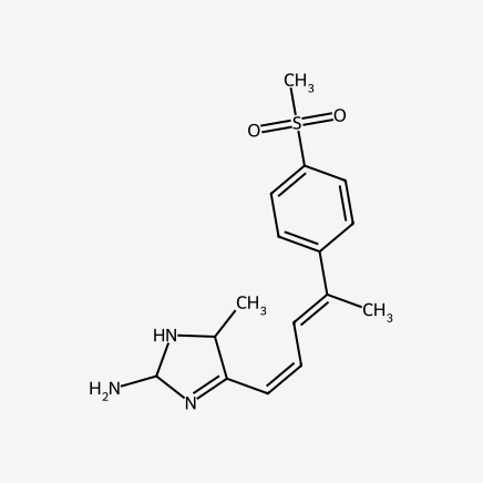 C/C(=C\C=C/C1=NC(N)NC1C)c1ccc(S(C)(=O)=O)cc1